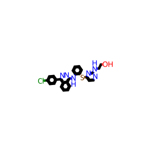 OCCNc1nccc(Sc2ccccc2Nc2nnc(-c3ccc(Cl)cc3)c3ccccc23)n1